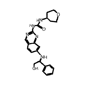 O=C(Nc1ncc2ccc(NC(CO)c3ccccc3)cc2n1)NC1CCOCC1